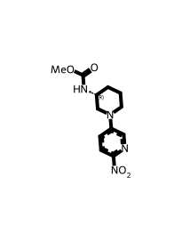 COC(=O)N[C@@H]1CCCN(c2ccc([N+](=O)[O-])nc2)C1